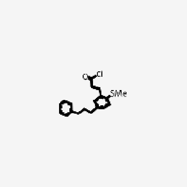 CSc1ccc(CCCc2ccccc2)cc1/C=C/C(=O)Cl